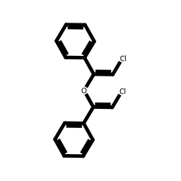 ClC=C(OC(=CCl)c1ccccc1)c1ccccc1